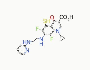 O=C(O)c1cn(C2CC2)c2c(F)c(NCCNc3ccccn3)c(F)c(S)c2c1=O